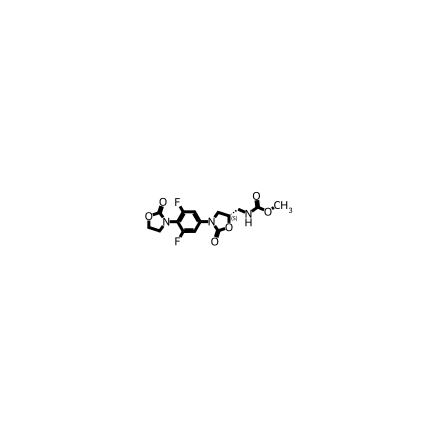 COC(=O)NC[C@H]1CN(c2cc(F)c(N3CCOC3=O)c(F)c2)C(=O)O1